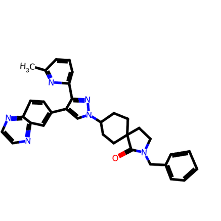 Cc1cccc(-c2nn(C3CCC4(CC3)CCN(Cc3ccccc3)C4=O)cc2-c2ccc3nccnc3c2)n1